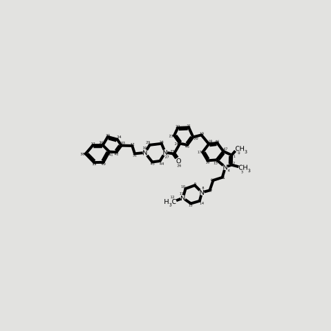 Cc1c(C)n(CCCN2CCN(C)CC2)c2ccc(Cc3cccc(C(=O)N4CCN(CCc5ccc6ccccc6c5)CC4)c3)cc12